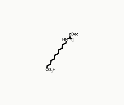 [CH2]CCCCCCCCCC(=O)NCCCCCCCCCCC(=O)O